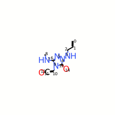 C=CCNn1nc(NC)n(C=C=O)c1=O